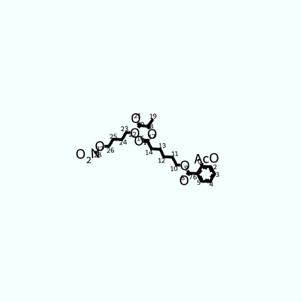 CC(=O)Oc1ccccc1C(=O)OCCCCCC(=O)OC(C)C(=O)OCCCCO[N+](=O)[O-]